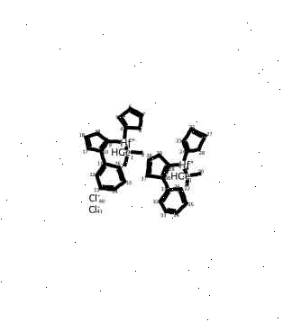 [CH3][GeH]([CH3])[Hf+]([C]1=CC=CC1)[C]1=C(c2ccccc2)C=CC1.[CH3][GeH]([CH3])[Hf+]([C]1=CC=CC1)[C]1=C(c2ccccc2)C=CC1.[Cl-].[Cl-]